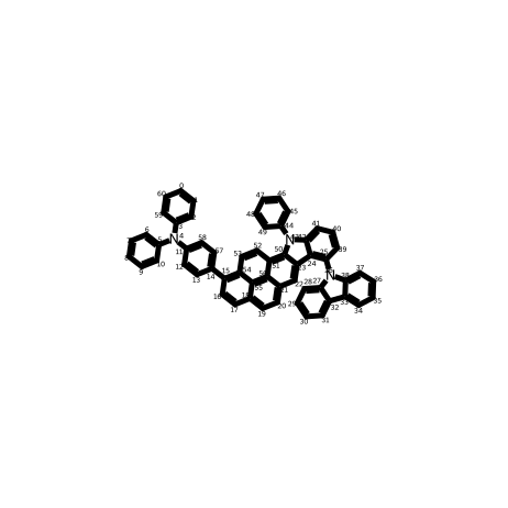 c1ccc(N(c2ccccc2)c2ccc(-c3ccc4ccc5cc6c7c(-n8c9ccccc9c9ccccc98)cccc7n(-c7ccccc7)c6c6ccc3c4c56)cc2)cc1